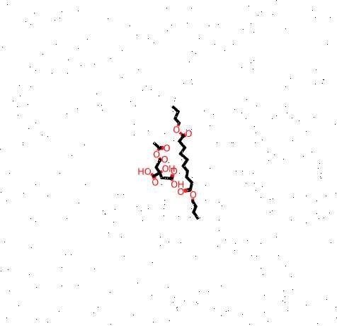 CC(=O)OC(=O)CC(O)(CC(=O)O)C(=O)O.CCCCOC(=O)CCCCCCCCC(=O)OCCCC